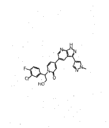 Cn1cc(-c2n[nH]c3ncc(-c4ccn(C(CO)c5ccc(F)c(Cl)c5)c(=O)c4)cc23)cn1